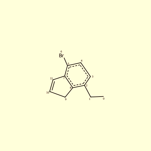 CCc1ccc(Br)c2c1CC=C2